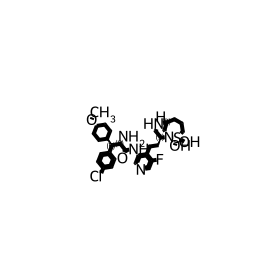 COC1CCC([C@H](c2ccc(Cl)cc2)[C@H](N)C(=O)Nc2cncc(F)c2CC[C@H]2CN[C@@H]3CCCS(O)(O)N2C3)CC1